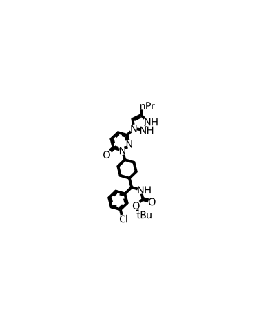 CCCC1=CN(c2ccc(=O)n(C3CCC(C(NC(=O)OC(C)(C)C)c4cccc(Cl)c4)CC3)n2)NN1